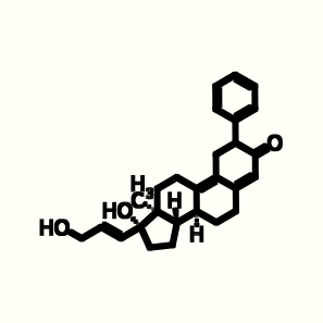 C[C@]12CCC3=C4CC(c5ccccc5)C(=O)C=C4CC[C@H]3[C@@H]1CC[C@@]2(O)C=CCO